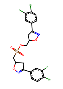 O=S(=O)(CC1CC(c2ccc(Br)c(F)c2)=NO1)OCC1CC(c2ccc(Br)c(F)c2)=NO1